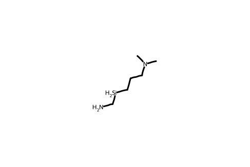 CN(C)CCC[SiH2]CN